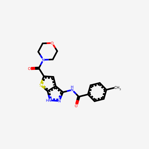 Cc1ccc(C(=O)Nc2n[nH]c3sc(C(=O)N4CCOCC4)cc23)cc1